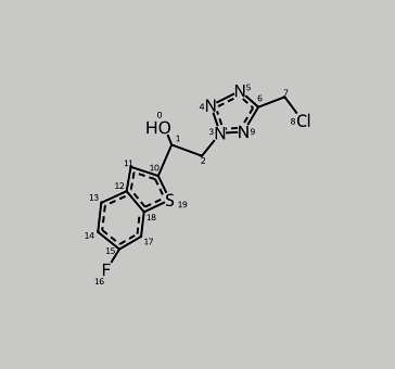 OC(Cn1nnc(CCl)n1)c1cc2ccc(F)cc2s1